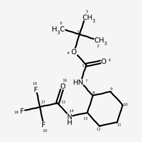 CC(C)(C)OC(=O)NC1CCCCC1NC(=O)C(F)(F)F